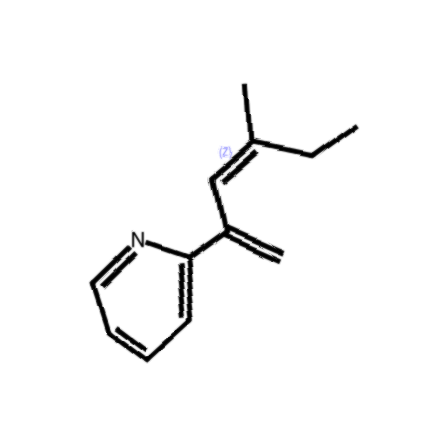 C=C(/C=C(/C)CC)c1ccccn1